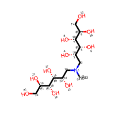 CCCCN(C[C@H](O)[C@@H](O)[C@H](O)[C@H](O)CO)C[C@H](O)[C@@H](O)[C@H](O)[C@H](O)CO